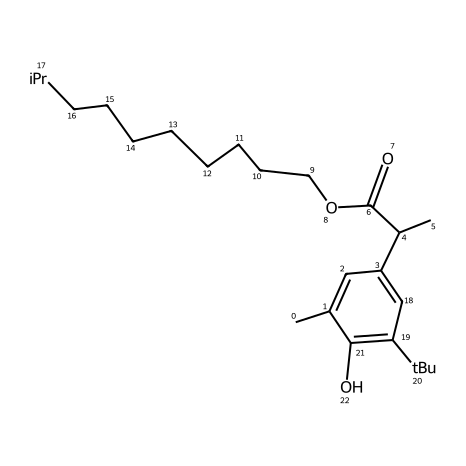 Cc1cc(C(C)C(=O)OCCCCCCCCC(C)C)cc(C(C)(C)C)c1O